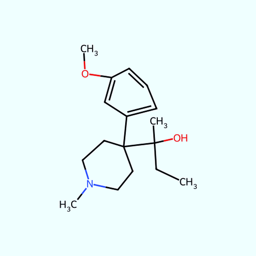 CCC(C)(O)C1(c2cccc(OC)c2)CCN(C)CC1